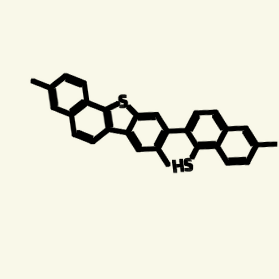 Cc1ccc2c(S)c(-c3cc4sc5c6ccc(C)cc6ccc5c4cc3C)ccc2c1